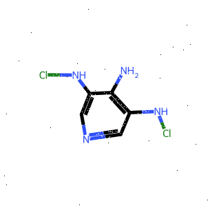 Nc1c(NCl)cncc1NCl